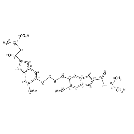 COc1cc2sc(C(=O)C[C@H](C)C(=O)O)cc2cc1OCCOc1cc2sc(C(=O)C[C@H](C)C(=O)O)cc2cc1OC